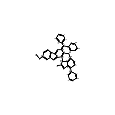 CCc1ccc2c(c1)[C]=c1c-2cc(=C(c2ccccc2)c2ccccc2)c(CC)c1C1C(C)=Cc2c(-c3ccccc3)cccc21